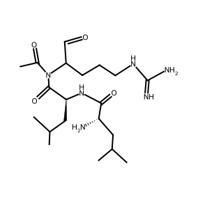 CC(=O)N(C(=O)[C@H](CC(C)C)NC(=O)[C@@H](N)CC(C)C)C(C=O)CCCNC(=N)N